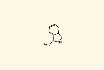 CCCCCN1NCC2CC=CC=C21